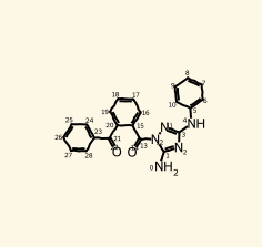 Nc1nc(Nc2ccccc2)nn1C(=O)c1ccccc1C(=O)c1ccccc1